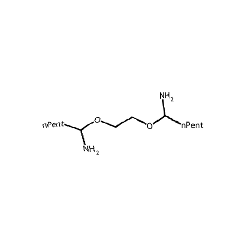 CCCCCC(N)OCCOC(N)CCCCC